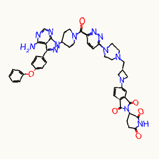 Nc1ncnc2c1c(-c1ccc(Oc3ccccc3)cc1)nn2C1CCN(C(=O)c2ccc(N3CCN(CC4CN(c5ccc6c(c5)C(=O)N(C5CCC(=O)NC5=O)C6=O)C4)CC3)nn2)CC1